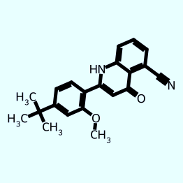 COc1cc(C(C)(C)C)ccc1-c1cc(=O)c2c(C#N)cccc2[nH]1